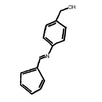 OCc1ccc(N=Cc2ccccc2)cc1